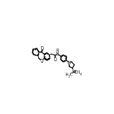 CN(C)C1CCN(c2ccc(NC(=O)Cc3ccc4c(c3)C(=O)c3ccccc3CO4)cc2)C1